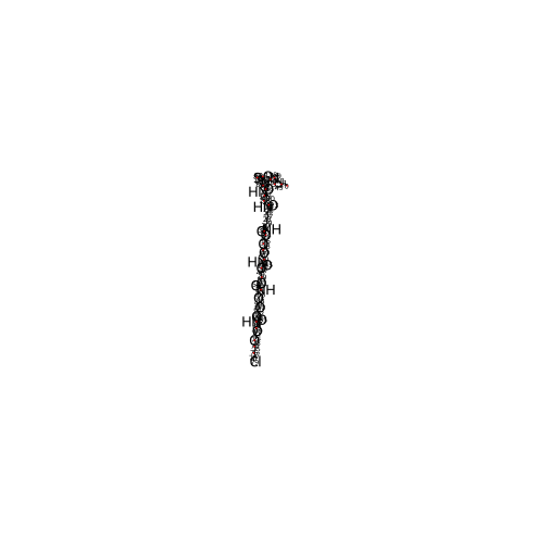 CCc1cccc(N(CC)C(=O)Cn2c(C(=O)N[C@H]3CC[C@H](C(=O)NCCCCCCNC(=O)OCCOCCOCCNC(=O)OC/C=C/COC(=O)NCCOCCOCCOC(=O)NCCOCCOCCCCCCCl)CC3)cc3sccc32)c1